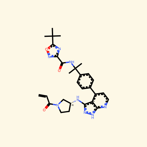 C=CC(=O)N1CC[C@@H](Nc2n[nH]c3nccc(-c4ccc(C(C)(C)NC(=O)c5noc(C(C)(C)C)n5)cc4)c23)C1